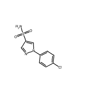 NS(=O)(=O)c1cnn(-c2ccc(Cl)cc2)c1